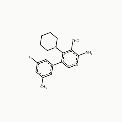 Cc1cc(F)cc(-c2cnc(N)c(C=O)c2N2CCCCC2)c1